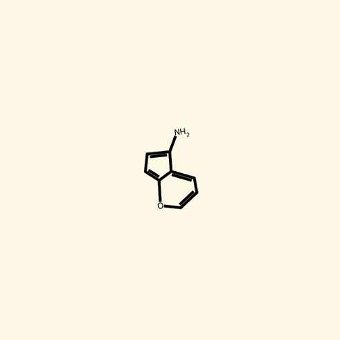 Nc1ccc2occcc1-2